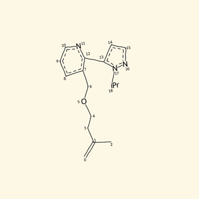 C=C(C)CCOCc1cccnc1-c1ccnn1C(C)C